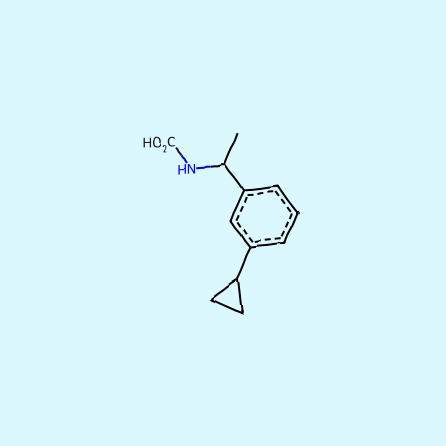 CC(NC(=O)O)c1cccc(C2CC2)c1